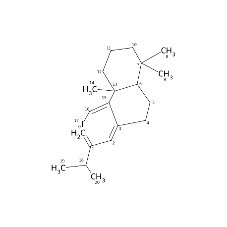 C=C(/C=C1/CCC2C(C)(C)CCCC2(C)/C1=C/I)C(C)C